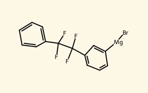 FC(F)(c1ccccc1)C(F)(F)c1ccc[c]([Mg][Br])c1